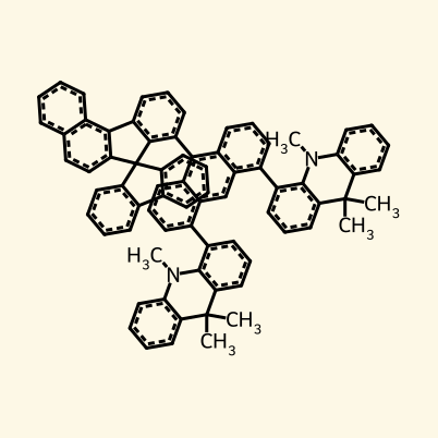 CN1c2ccccc2C(C)(C)c2cccc(-c3cccc4c(-c5cccc6c5C5(c7ccccc7-c7ccccc75)c5ccc7ccccc7c5-6)c5cccc(-c6cccc7c6N(C)c6ccccc6C7(C)C)c5cc34)c21